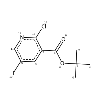 CC(C)(C)OC(=O)c1cc(I)cnc1Cl